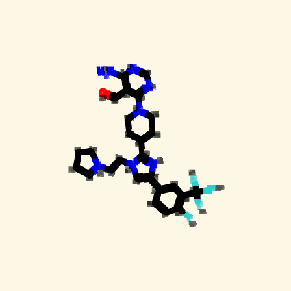 Nc1ncnc(N2CCC(c3nc(-c4ccc(F)c(C(F)(F)F)c4)cn3CCN3CCCC3)CC2)c1C=O